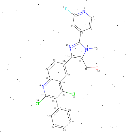 Cn1c(-c2ccnc(F)c2)nc(-c2ccc3nc(Cl)c(-c4ccccc4)c(Cl)c3c2)c1CO